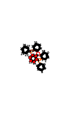 C1=CCC(P(c2ccccc2)c2ccccc2)C(OC2=C(P(c3ccccc3)c3ccccc3)C=CCC2)=C1